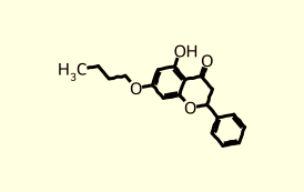 CCCCOc1cc(O)c2c(c1)OC(c1ccccc1)CC2=O